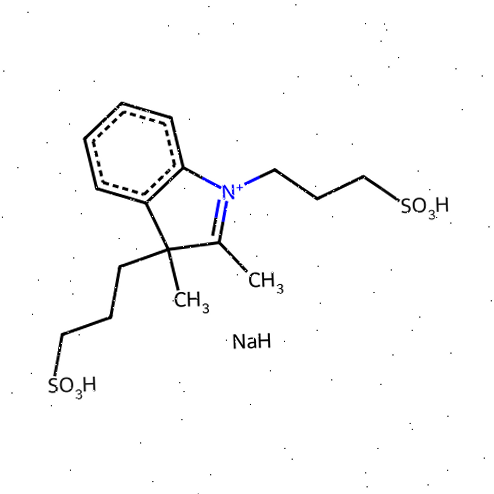 CC1=[N+](CCCS(=O)(=O)O)c2ccccc2C1(C)CCCS(=O)(=O)O.[NaH]